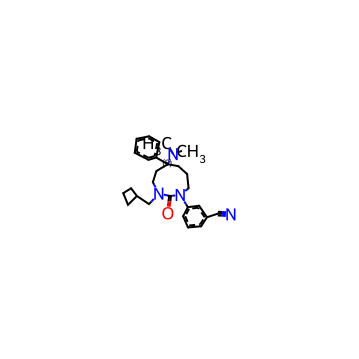 CN(C)[C@@]1(c2ccccc2)CCCN(c2cccc(C#N)c2)C(=O)N(CC2CCC2)CC1